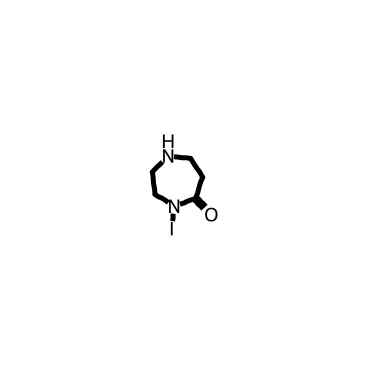 O=C1CCNCCN1I